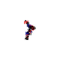 COC(=O)c1cccc(CN2CCN(C(=O)[C@H](Cc3ccc(Oc4ccnc5c4c(C)cn5COCC[Si](C)(C)C)c(F)c3)NC(=O)OC(C)(C)C)CC2)c1